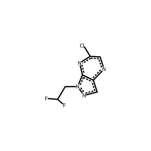 FC(F)Cn1ncc2ncc(Cl)nc21